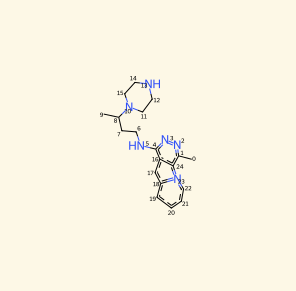 Cc1nnc(NCCC(C)N2CCNCC2)c2cc3ccccn3c12